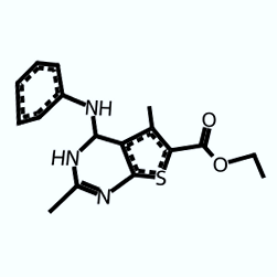 CCOC(=O)c1sc2c(c1C)C(Nc1ccccc1)NC(C)=N2